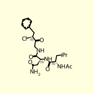 CC(=O)N[C@@H](CC(C)C)C(=O)N[C@@H](CC(N)=O)C(=O)NCC(=O)[C@@H](Cl)Cc1ccccc1